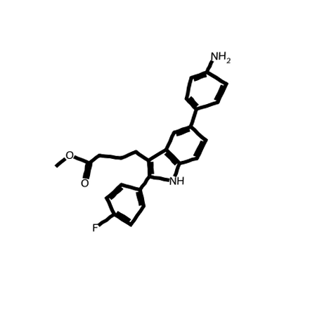 COC(=O)CCCc1c(-c2ccc(F)cc2)[nH]c2ccc(-c3ccc(N)cc3)cc12